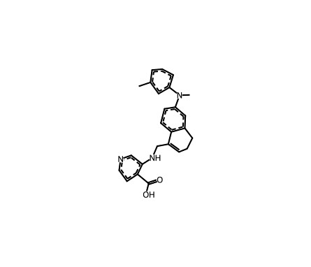 Cc1cccc(N(C)c2ccc3c(c2)CCC=C3CNc2cnccc2C(=O)O)c1